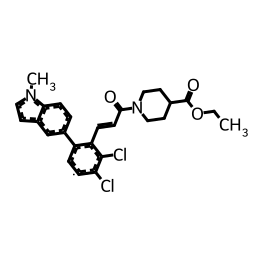 CCOC(=O)C1CCN(C(=O)/C=C/c2c(-c3ccc4c(ccn4C)c3)c[c]c(Cl)c2Cl)CC1